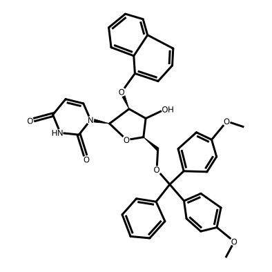 COc1ccc(C(OC[C@H]2O[C@@H](n3ccc(=O)[nH]c3=O)[C@@H](Oc3cccc4ccccc34)C2O)(c2ccccc2)c2ccc(OC)cc2)cc1